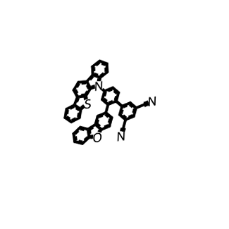 N#Cc1cc(C#N)cc(-c2ccc(-n3c4ccccc4c4ccc5c6ccccc6sc5c43)cc2-c2ccc3oc4ccccc4c3c2)c1